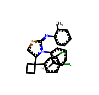 Cc1ccccc1/N=c1/scc(C2(c3ccc(Cl)c(Cl)c3)CCC2)n1-c1ccccc1C